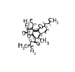 CCCC1C=Cc2c(C)c(C(=O)CC(C)C)c3oc(=O)c(F)c(CC)c3c2O1